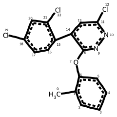 Cc1ccccc1Oc1nnc(Cl)cc1-c1ccc(Cl)cc1Cl